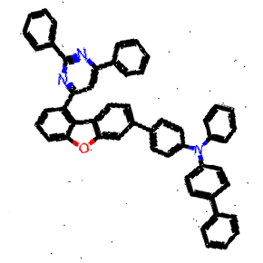 c1ccc(-c2ccc(N(c3ccccc3)c3ccc(-c4ccc5c(c4)oc4cccc(-c6cc(-c7ccccc7)nc(-c7ccccc7)n6)c45)cc3)cc2)cc1